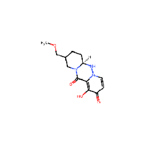 COCC1CC[C@H]2Nn3ccc(=O)c(O)c3C(=O)N2C1